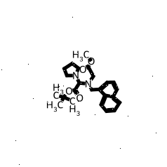 COC(=O)CN(Cc1cccc2ccccc12)C(C(=O)OC(C)(C)C)N1CCCC1